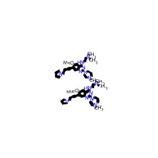 COc1cc2c(NCCN(C)C)nc(N3CCCN(C)CC3)nc2cc1C#CCCN1CCCC1.COc1cc2c(NCCN(C)C)nc(N3CCCN(C)CC3)nc2cc1C#CCCN1CCCC1